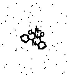 CN(C)C(=O)n1c(-c2ccccc2)nc2ccccc2c1=O